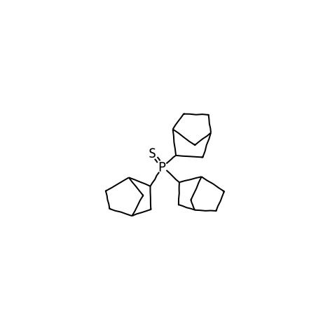 S=P(C1CC2CCC1C2)(C1CC2CCC1C2)C1CC2CCC1C2